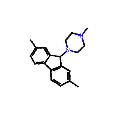 Cc1ccc2c(c1)C(N1CCN(C)CC1)c1cc(C)ccc1-2